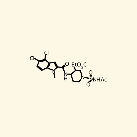 CCOC(=O)C1CN(S(=O)(=O)NC(C)=O)CCC1NC(=O)c1cc2c(Cl)c(Cl)ccc2n1C